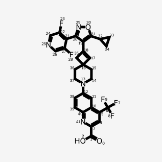 O=C(O)c1cc(C(F)(F)F)c2cc(N3CCC4(C=C(c5c(-c6c(F)cncc6F)noc5C5CC5)C4)CC3)ccc2n1